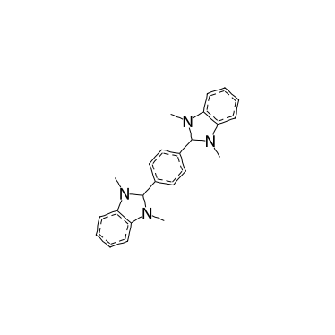 CN1c2ccccc2N(C)C1c1ccc(C2N(C)c3ccccc3N2C)cc1